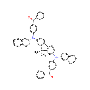 CC1(C)c2cc(N(c3ccc(C(=O)c4ccccc4)cc3)c3ccc4ccccc4c3)ccc2-c2ccc(N(c3ccc(C(=O)c4ccccc4)cc3)c3ccc4ccccc4c3)cc21